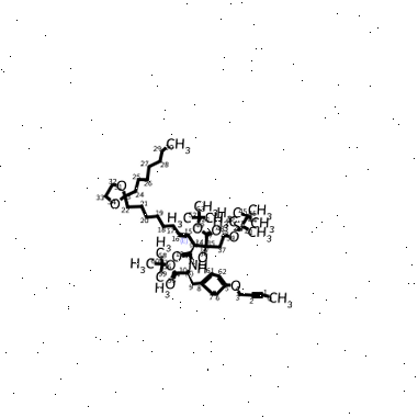 CC#CCOc1ccc(C[C@H](NC(=O)[C@@H](/C=C/CCCCCCC2(CCCCCCC)OCCO2)[C@@](O)(CCO[Si](C)(C)C(C)(C)C)C(=O)OC(C)(C)C)C(=O)OC(C)(C)C)cc1